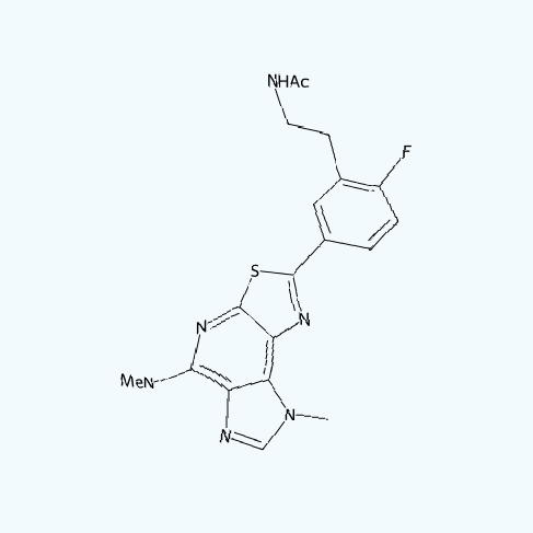 CNc1nc2sc(-c3ccc(F)c(CCNC(C)=O)c3)nc2c2c1ncn2C